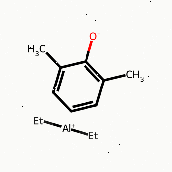 C[CH2][Al+][CH2]C.Cc1cccc(C)c1[O-]